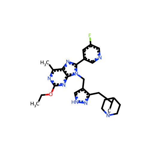 CCOc1nc(C)c2nc(-c3cncc(F)c3)n(Cc3c[nH]nc3CC3CN4CCC3CC4)c2n1